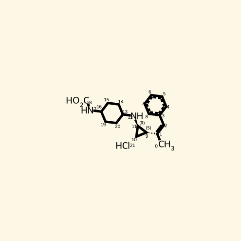 CC(=Cc1ccccc1)[C@@H]1C[C@H]1NC1CCC(NC(=O)O)CC1.Cl